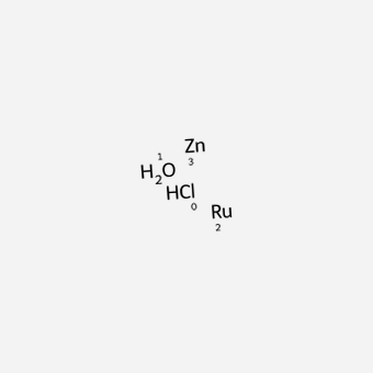 Cl.O.[Ru].[Zn]